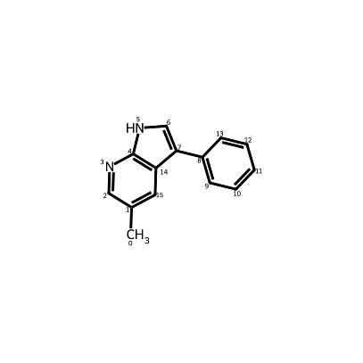 Cc1cnc2[nH]cc(-c3ccccc3)c2c1